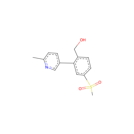 Cc1ccc(-c2cc(S(C)(=O)=O)ccc2CO)cn1